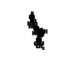 CNn1ccc(CN2CCC(NC(C)=O)CC2)c1C(=N)Oc1ccc(NC(=O)NC(=O)Cc2ccc(F)cc2)cc1F